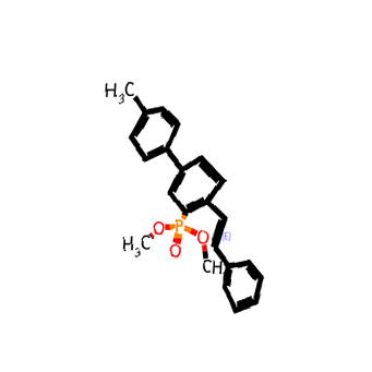 COP(=O)(OC)c1cc(-c2ccc(C)cc2)ccc1/C=C/c1ccccc1